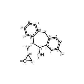 O[C@H]1c2cc(F)ccc2Cc2ccccc2[C@H]1C[C@H]1CO1